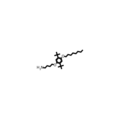 CCCCCCCCOc1cc(C(C)(C)C)c(OCCCCN)cc1C(C)(C)C